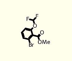 COC(=O)c1c(Br)cccc1OC(F)F